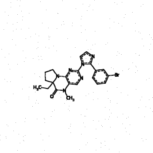 CCC12CCCN1c1nc(-n3ccnc3-c3cccc(Br)c3)ncc1N(C)C2=O